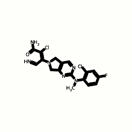 CN(c1ncc2c(n1)CN(/C(C=N)=C(\Cl)C(N)=O)C2)c1ccc(F)cc1Cl